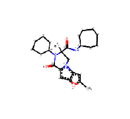 Cc1cc2c(cc3n2CC(C)(C(=O)NC2CCCCCC2)N(C2CCCCC2)C3=O)o1